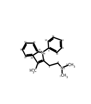 Cc1c(CCN(C)C)n(-c2ccccc2)c2ccccc12